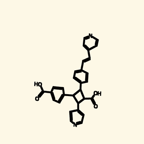 O=C(O)c1ccc(C2C(c3ccncc3)C(C(=O)O)C2c2ccc(C=Cc3ccncc3)cc2)cc1